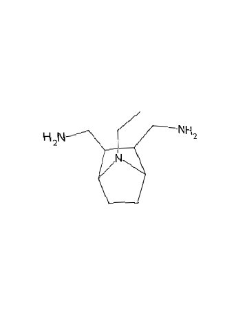 CCN1C2CCC1C(CN)C2CN